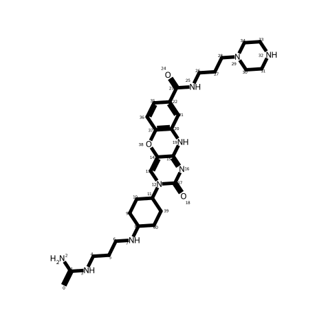 C=C(N)NCCCNC1CCC(n2cc3c(nc2=O)Nc2cc(C(=O)NCCCN4CCNCC4)ccc2O3)CC1